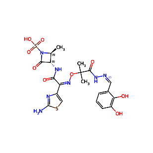 C[C@H]1[C@H](NC(=O)C(=NOC(C)(C)C(=O)N/N=C\c2cccc(O)c2O)c2csc(N)n2)C(=O)N1S(=O)(=O)O